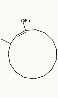 CC(C)CO/C1=C/C(C)CCCCCCCCCCCC1